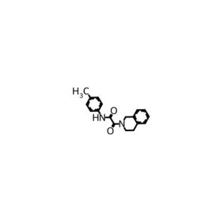 Cc1ccc(NC(=O)C(=O)N2CCc3ccccc3C2)cc1